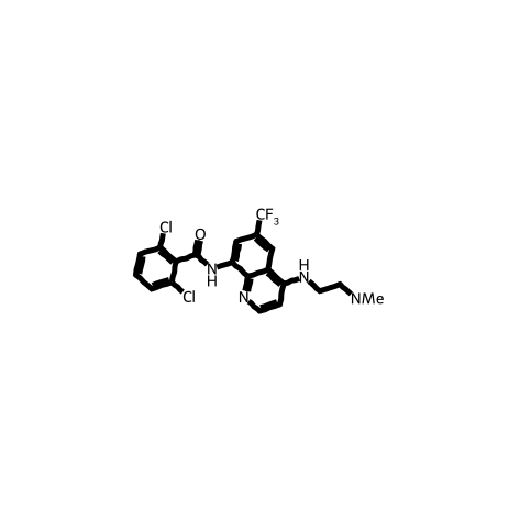 CNCCNc1ccnc2c(NC(=O)c3c(Cl)cccc3Cl)cc(C(F)(F)F)cc12